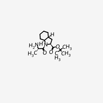 C[C@H](N)C(=O)N1[C@H](C(=O)OC(C)(C)C)C[C@H]2CCCC[C@@H]21